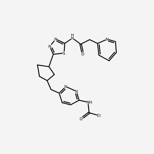 CCC(=O)Nc1ccc(CC2CCC(c3nnc(NC(=O)Cc4ccccn4)s3)C2)nn1